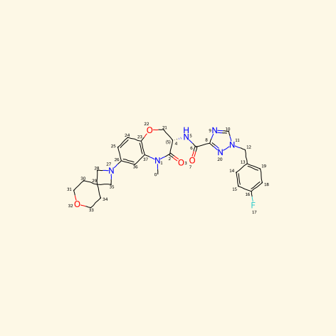 CN1C(=O)[C@@H](NC(=O)c2ncn(Cc3ccc(F)cc3)n2)COc2ccc(N3CC4(CCOCC4)C3)cc21